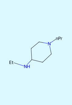 [CH2]CCN1CCC(NCC)CC1